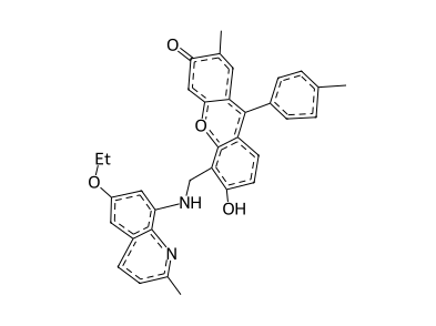 CCOc1cc(NCc2c(O)ccc3c(-c4ccc(C)cc4)c4cc(C)c(=O)cc-4oc23)c2nc(C)ccc2c1